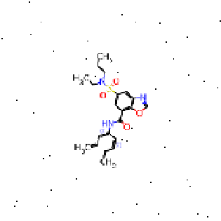 C=C/C=C\C(=C/C=C)NC(=O)c1cc(S(=O)(=O)N(CC)CCC)cc2ncoc12